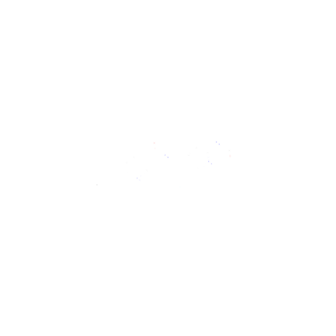 Cc1cc(C(C)NC(=O)c2ccc(OCC(F)(F)F)nc2OCC(F)F)cc(NC(=O)C(C)C)n1